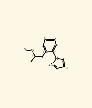 CSC(C)Cc1ccccc1-n1cccn1